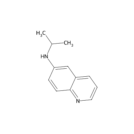 CC(C)Nc1ccc2ncccc2c1